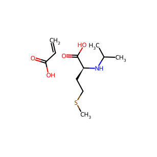 C=CC(=O)O.CSCC[C@H](NC(C)C)C(=O)O